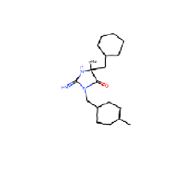 CCCCC1(CC2CCCCC2)NC(=N)N(CC2CCC(C)CC2)C1=O